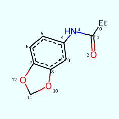 CCC(=O)Nc1ccc2c(c1)OCO2